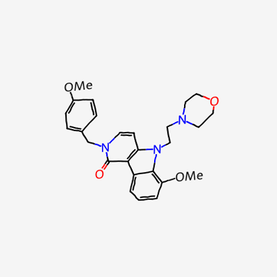 COc1ccc(Cn2ccc3c(c2=O)c2cccc(OC)c2n3CCN2CCOCC2)cc1